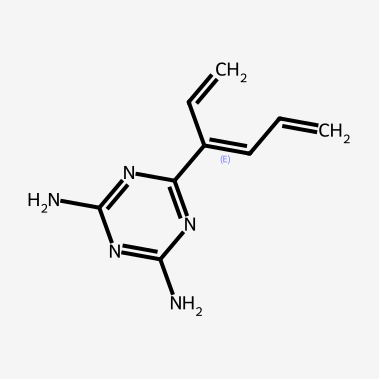 C=C/C=C(\C=C)c1nc(N)nc(N)n1